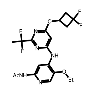 CCOc1cnc(NC(C)=O)cc1Nc1cc(OC2CC(F)(F)C2)nc(C(C)(F)F)n1